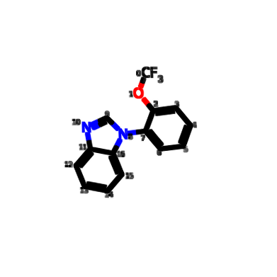 FC(F)(F)Oc1ccccc1-n1cnc2ccccc21